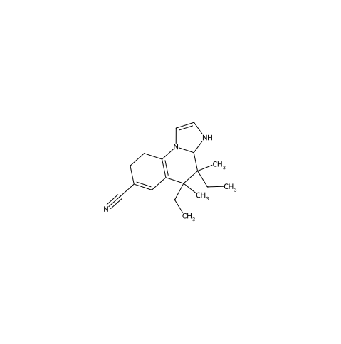 CCC1(C)C2=C(CCC(C#N)=C2)N2C=CNC2C1(C)CC